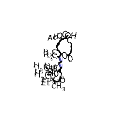 CC[C@H](O[Si](C)(C)C(C)(C)C)[C@@H](C)[C@H]1O[C@@H]1C[C@@](C)(O)/C=C/C=C(\C)C1OC(=O)CCCCC(C)(O)C(OC(C)=O)C=CC1C